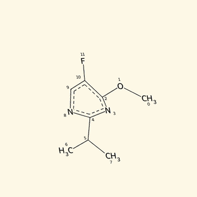 COc1nc(C(C)C)ncc1F